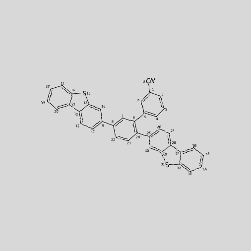 N#Cc1cccc(-c2cc(-c3ccc4c(c3)sc3ccccc34)ccc2-c2ccc3c(c2)sc2ccccc23)c1